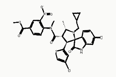 COC(=O)c1ccc(N(C)C(=O)[C@@H]2[C@H](C)N(CC3CC3)[C@@]3(C(=O)Nc4cc(Cl)ccc43)[C@H]2c2cc(Cl)cs2)c([N+](=O)[O-])c1